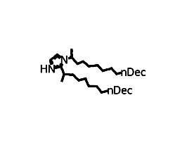 CCCCCCCCCCCCCCCCCC(C)[n+]1cc[nH]c1C(C)CCCCCCCCCCCCCCCC